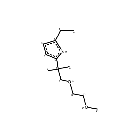 CCc1ccc(C(C)(C)COCCOC)s1